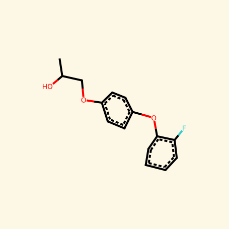 CC(O)COc1ccc(Oc2ccccc2F)cc1